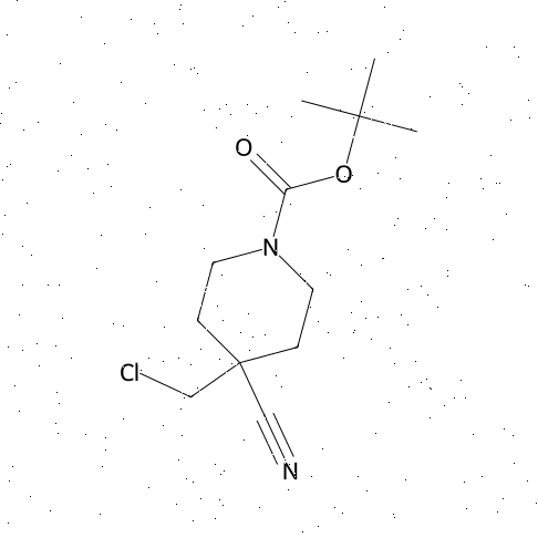 CC(C)(C)OC(=O)N1CCC(C#N)(CCl)CC1